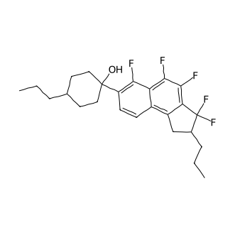 CCCC1CCC(O)(c2ccc3c4c(c(F)c(F)c3c2F)C(F)(F)C(CCC)C4)CC1